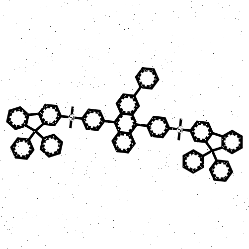 C[Si](C)(c1ccc(-c2c3ccccc3c(-c3ccc([Si](C)(C)c4ccc5c(c4)C(c4ccccc4)(c4ccccc4)c4ccccc4-5)cc3)c3cc(-c4ccccc4)ccc23)cc1)c1ccc2c(c1)C(c1ccccc1)(c1ccccc1)c1ccccc1-2